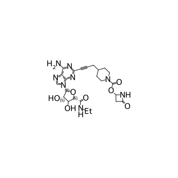 CCNC(=O)[C@H]1O[C@@H](n2cnc3c(N)nc(C#CCC4CCN(C(=O)OC5CC(=O)N5)CC4)nc32)[C@@H](O)C1O